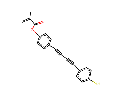 C=C(C)C(=O)Oc1ccc(C#CC#Cc2ccc(S)cc2)cc1